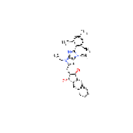 CCn1c(C=C2C(=O)c3cc4ccccc4cc3C2=O)cc2c1nc(-c1c(C)cc(C)cc1C)n2C